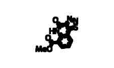 COC(=O)c1cccc2c1[nH]c(=O)c1nnsc12